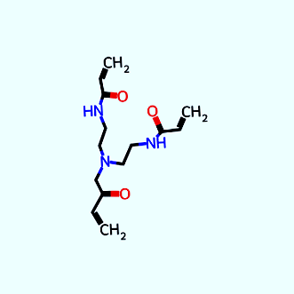 C=CC(=O)CN(CCNC(=O)C=C)CCNC(=O)C=C